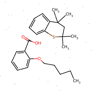 CC1(C)CC(C)(C)c2ccccc2S1.CCCCCOc1ccccc1C(=O)O